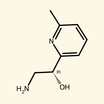 Cc1cccc([C@H](O)CN)n1